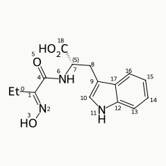 CCC(=NO)C(=O)N[C@@H](Cc1c[nH]c2ccccc12)C(=O)O